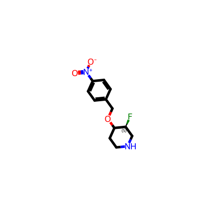 O=[N+]([O-])c1ccc(COC2CCNC[C@@H]2F)cc1